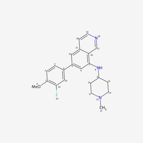 COc1ccc(-c2cc(NC3CCN(C)CC3)c3cnccc3c2)cc1F